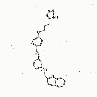 C(=C\c1cccc(OCc2ccc3ccccc3n2)c1)/c1ccc(OCCCc2nnn[nH]2)cc1